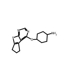 NC1CCC(Oc2ncnc3sc4c(c23)CCC4)CC1